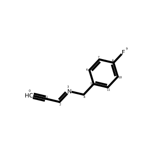 C#CC=NCc1ccc(F)cc1